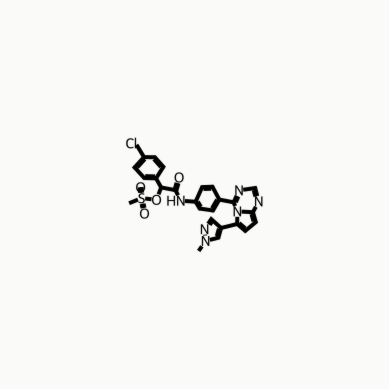 Cn1cc(-c2ccc3ncnc(-c4ccc(NC(=O)C(OS(C)(=O)=O)c5ccc(Cl)cc5)cc4)n23)cn1